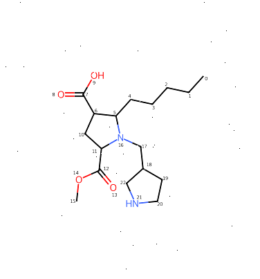 CCCCCC1C(C(=O)O)CC(C(=O)OC)N1CC1CCNC1